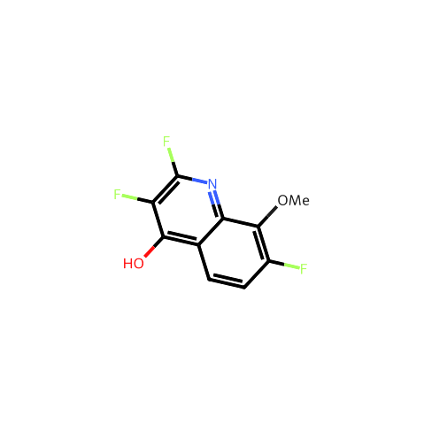 COc1c(F)ccc2c(O)c(F)c(F)nc12